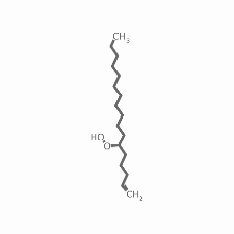 C=CCCCC(CCCCCCCCCCC)OO